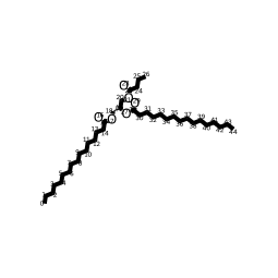 CCCCCCCCCCCCCCCC(=O)OC[C@H](COC(=O)CCC)OC(=O)CCCCCCCCCCCCCCC